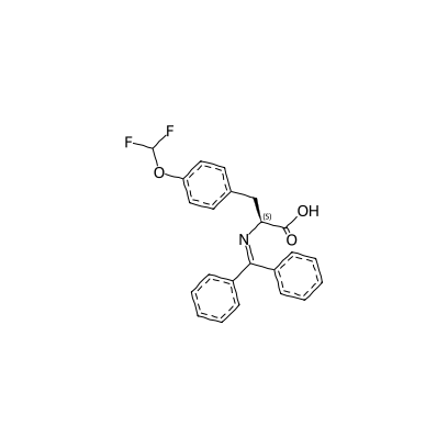 O=C(O)[C@H](Cc1ccc(OC(F)F)cc1)N=C(c1ccccc1)c1ccccc1